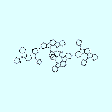 C1=CC2C3=C(C=CC4C3c3ccc(-c5ccc6c7ccc8c9ccccc9n(C9=CC=CC(n%10c%11ccc(C%12=CC%13C(C=C%12)c%12c(ccc%14c%15ccccc%15n(-c%15ccccc%15)c%12%14)N%13c%12ccccc%12)cc%11c%11ccc%12c%13ccccc%13n(-c%13ccccc%13)c%12c%11%10)N9)c8c7n(-c7ccccc7)c6c5)cc3N4c3ccco3)N(c3ccccn3)C2C=C1